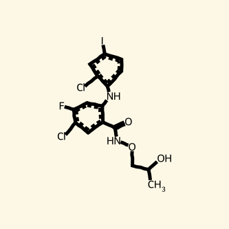 CC(O)CONC(=O)c1cc(Cl)c(F)cc1Nc1ccc(I)cc1Cl